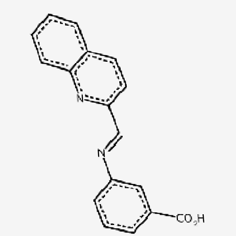 O=C(O)c1cccc(N=Cc2ccc3ccccc3n2)c1